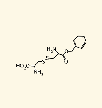 NC(CSSCC(N)C(=O)OCc1ccccc1)C(=O)O